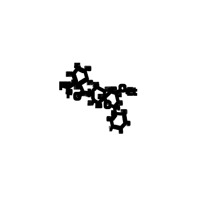 CCOC1CC(c2ccccc2)OC2(CCN(C(=O)c3ccccc3C(F)F)CC2)C1